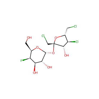 OC[C@H]1O[C@H](O[C@]2(CCl)O[C@H](CCl)[C@@H](Cl)[C@@H]2O)[C@H](O)[C@@H](O)[C@H]1F